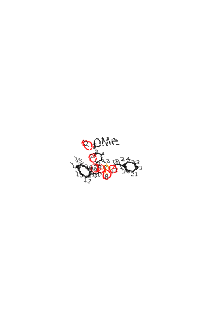 COC(=O)[C@@H]1C[C@@H](CP(=O)(OCc2ccccc2)OCc2ccccc2)C(=O)O1